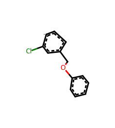 Clc1[c]ccc(COc2ccccc2)c1